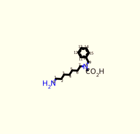 NCCCCCCCN(Cc1ccccc1)C(=O)O